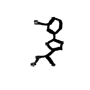 NNC(=O)c1nnc(-c2ccnc(Cl)c2)o1